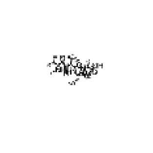 CCC[C@H](NC(=O)[C@@H](NC(=O)[C@@H](NC)C(C)C)C(C)C)C(=O)N[C@@H](C)P(=O)(O)O